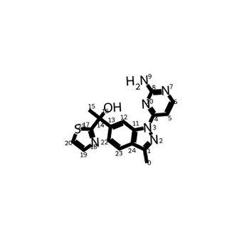 Cc1nn(-c2ccnc(N)n2)c2cc(C(C)(O)c3nccs3)ccc12